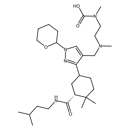 CC(C)CCNC(=O)[C@@H]1CC(c2nn(C3CCCCO3)cc2CN(C)CCN(C)C(=O)O)CCC1(C)C